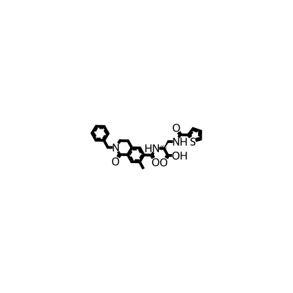 Cc1cc2c(cc1C(=O)N[C@@H](CNC(=O)c1cccs1)C(=O)O)CCN(Cc1ccccc1)C2=O